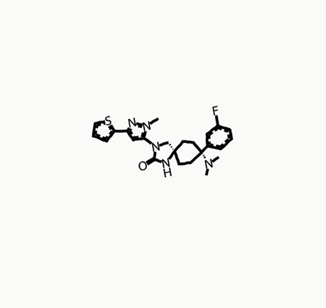 Cn1nc(-c2cccs2)cc1N1C[C@]2(CC[C@@](c3cccc(F)c3)(N(C)C)CC2)NC1=O